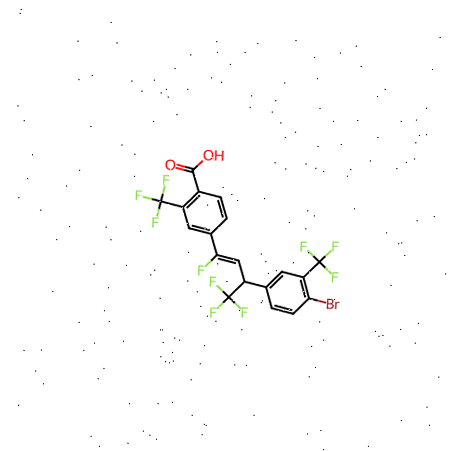 O=C(O)c1ccc(/C(F)=C/C(c2ccc(Br)c(C(F)(F)F)c2)C(F)(F)F)cc1C(F)(F)F